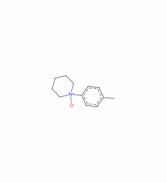 Cc1ccc([N+]2([O-])CCCCC2)cc1